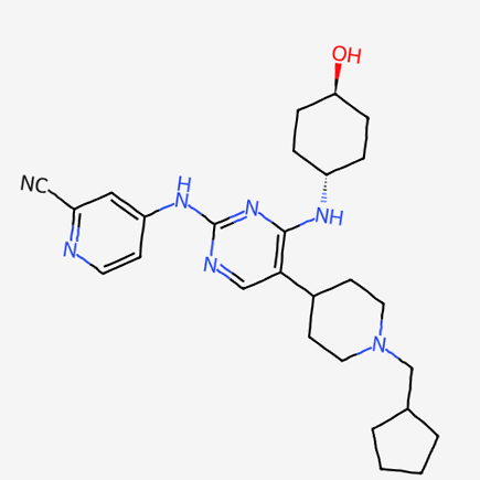 N#Cc1cc(Nc2ncc(C3CCN(CC4CCCC4)CC3)c(N[C@H]3CC[C@H](O)CC3)n2)ccn1